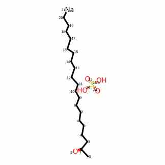 CC(=O)CCCCCCCCCCCCCCCCC[CH2][Na].O=S(=O)(O)O